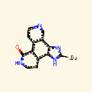 CC(C)(C)c1nc2c3cnccc3c3c(=O)[nH]ccc3c2[nH]1